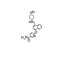 CCCC1CCC(NCc2ccc(Oc3ccc(C(N)=O)cn3)c3ccccc23)CC1